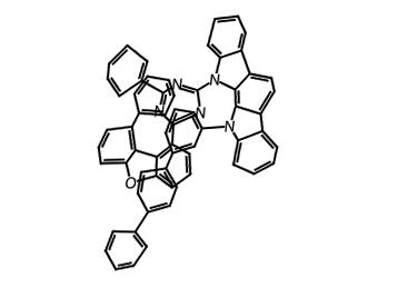 c1ccc(-c2ccc(-c3cccc(-n4c5ccccc5c5ccc6c7ccccc7n(-c7nc(-c8ccccc8)nc(-c8cccc9oc%10cccc(-c%11ccccc%11)c%10c89)n7)c6c54)c3)cc2)cc1